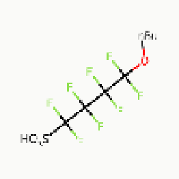 CCCCOC(F)(F)C(F)(F)C(F)(F)C(F)(F)S(=O)(=O)O